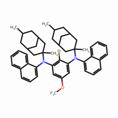 CC1CC2CC(C1)CC(C)(N(c1cc(OC(F)(F)F)cc(N(c3cccc4ccccc34)C3(C)CC4CC(C)CC(C4)C3)c1Br)c1cccc3ccccc13)C2